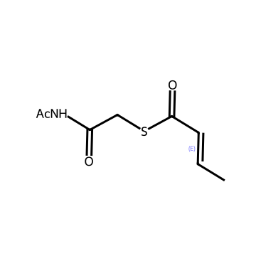 C/C=C/C(=O)SCC(=O)NC(C)=O